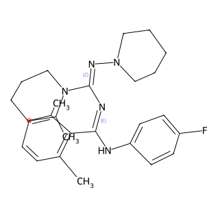 Cc1cccc(C)c1/C(=N\C(=N/N1CCCCC1)N1CCCCC1C)Nc1ccc(F)cc1